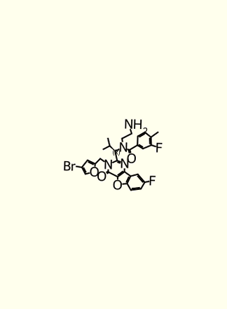 Cc1ccc(C(=O)N(CCN)[C@@H](c2nc3c(oc4ccc(F)cc43)c(=O)n2Cc2cc(Br)co2)C(C)C)cc1F